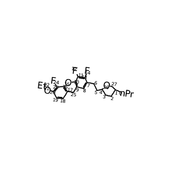 CCCC1CCC(CCc2cc3c(c(F)c2F)Oc2c(ccc(OCC)c2F)C3)OC1